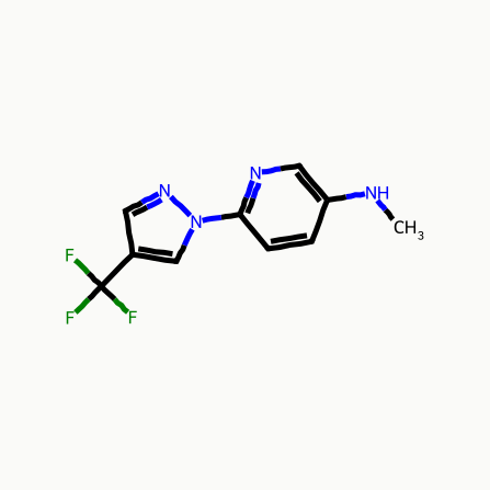 CNc1ccc(-n2cc(C(F)(F)F)cn2)nc1